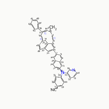 C=C1/C=C\c2cc(-c3ccc4cc(N(c5ccc(C#N)cc5)c5cccnc5)ccc4c3)cc3c2C/C(=C\C(c2ccccc2)=C/1)C=C3